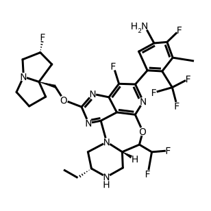 CC[C@@H]1CN2c3nc(OC[C@@]45CCCN4C[C@H](F)C5)nc4c(F)c(-c5cc(N)c(F)c(C)c5C(F)(F)F)nc(c34)OC(C(F)F)[C@@H]2CN1